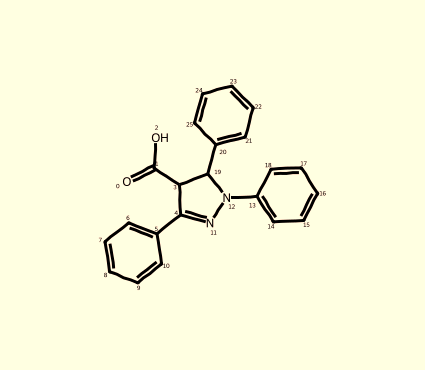 O=C(O)C1C(c2ccccc2)=NN(c2ccccc2)C1c1ccccc1